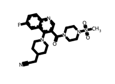 CS(=O)(=O)N1CCN(C(=O)c2cnc3ccc(F)cc3c2N2CCC(CC#N)CC2)CC1